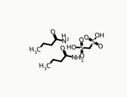 CCCC(N)=O.CCCC(N)=O.O=S(=O)(O)CS(=O)(=O)O